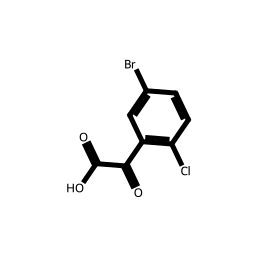 O=C(O)C(=O)c1cc(Br)ccc1Cl